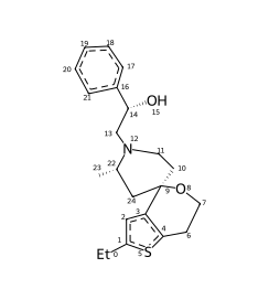 CCc1cc2c(s1)CCO[C@@]21CCN(C[C@@H](O)c2ccccc2)[C@@H](C)C1